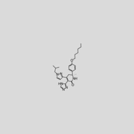 CCCCCCOc1ccc([C@]2(C)CC(c3ccn(CC(C)C)n3)=C(c3nnc[nH]3)C(=O)N2)cc1